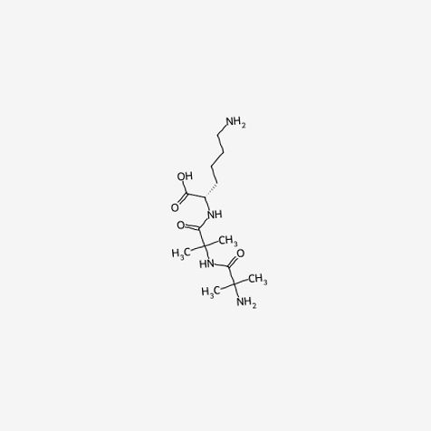 CC(C)(N)C(=O)NC(C)(C)C(=O)N[C@@H](CCCCN)C(=O)O